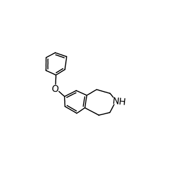 c1ccc(Oc2ccc3c(c2)CCNCC3)cc1